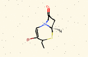 CC1S[C@@H]2CC(=O)N2C=C1Br